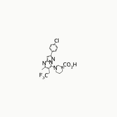 Cc1nc2cc(-c3ccc(Cl)cc3)nn2c(N2CCC[C@@H](C(=O)O)C2)c1CC(F)(F)F